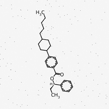 CCCCCC1CCC(c2ccc(C(=O)O[C@H](CC)c3ccccc3)cc2)CC1